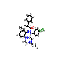 C=C(C(=O)N(Cc1ccc(Cl)cc1)c1ccccc1N1CCN(C)CC1)c1ccccc1.Cl